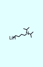 CCCCCN(C(C)C)C(C)C.[LiH]